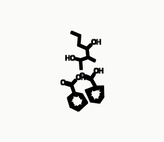 CCCC(O)C(C)C(C)O.O=C(O)c1ccccc1.O=C(O)c1ccccc1